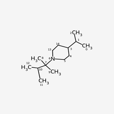 CC(C)C1CCN(C(C)(C)C(C)C)CC1